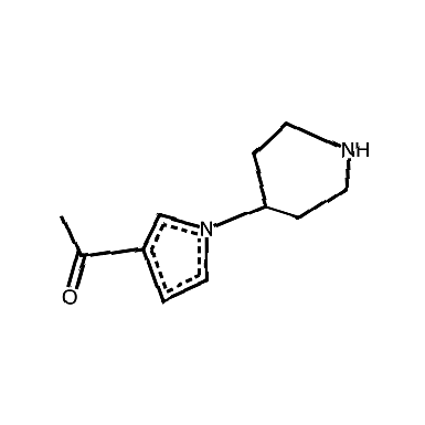 CC(=O)c1ccn(C2CCNCC2)c1